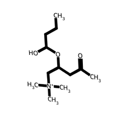 CCCC(O)OC(CC(C)=O)C[N+](C)(C)C